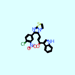 O=C(/C=C/c1c(-c2ccc(Cl)c([N+](=O)[O-])c2)nc2sccn12)c1c[nH]c2ccccc12